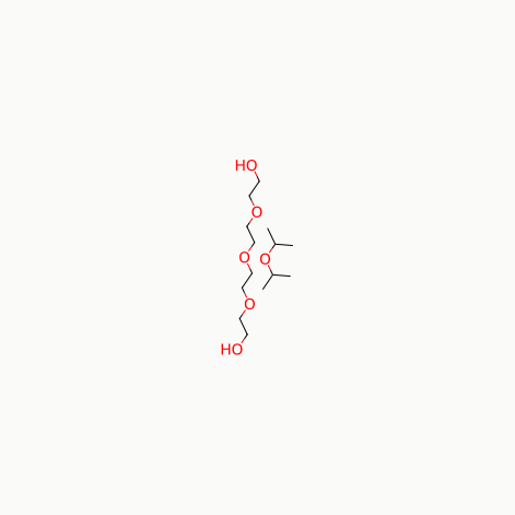 CC(C)OC(C)C.OCCOCCOCCOCCO